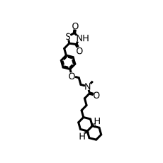 CN(CCOc1ccc(CC2SC(=O)NC2=O)cc1)C(=O)CCCC1CC[C@H]2CCCC[C@@H]2C1